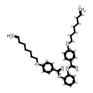 C=CCCCCCCOc1ccc(C(=O)Oc2ccccc2OC(=O)c2ccc(OCCCCCCC=C)cc2)cc1